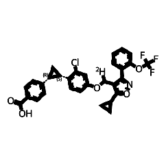 [2H]C(Oc1ccc([C@H]2C[C@H]2c2ccc(C(=O)O)cc2)c(Cl)c1)c1c(-c2ccccc2OC(F)(F)F)noc1C1CC1